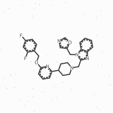 Fc1ccc(COc2cccc(C3CCN(Cc4nc5ccccc5n4Cc4cnco4)CC3)n2)c(F)c1